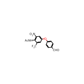 CC(=O)Nc1c([N+](=O)[O-])cc(Oc2ccc(C=O)cc2)cc1C(F)(F)F